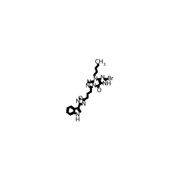 CCCCCn1c2nc(Br)[nH]c2c(=O)n2c(CCCc3nc(-c4c[nH]c5ccccc45)no3)nnc12